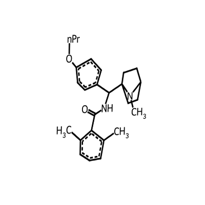 CCCOc1ccc(C(NC(=O)c2c(C)cccc2C)C23CCC(CC2)N3C)cc1